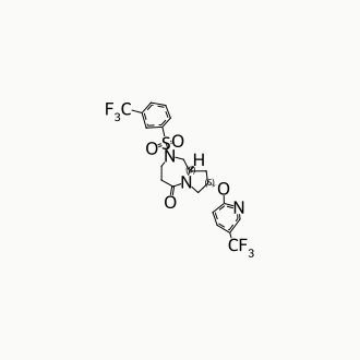 O=C1CCN(S(=O)(=O)c2cccc(C(F)(F)F)c2)C[C@@H]2C[C@H](Oc3ccc(C(F)(F)F)cn3)CN12